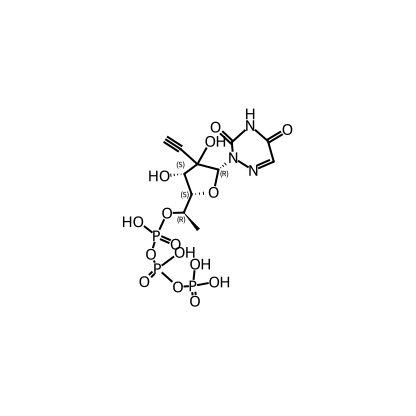 C#CC1(O)[C@@H](O)[C@@H]([C@@H](C)OP(=O)(O)OP(=O)(O)OP(=O)(O)O)O[C@H]1n1ncc(=O)[nH]c1=O